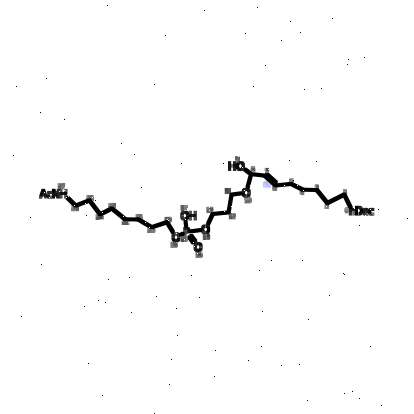 CCCCCCCCCCCCCCC/C=C/C(O)OCCCOP(=O)(O)OCCCCCCCCNC(C)=O